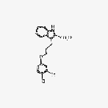 CCOC(=O)c1[nH]c2ccccc2c1CCCOc1ccc(Cl)c(CC)c1